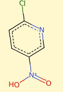 O=[N+](O)c1ccc(Cl)nc1